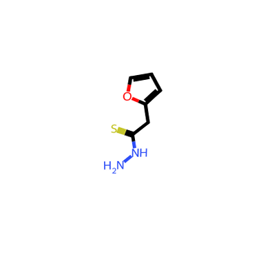 NNC(=S)Cc1ccco1